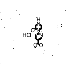 COC(=O)c1ccc(N2CCNCC2=O)nc1.Cl